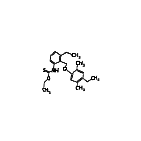 CCOC(=S)Nc1cccc(CC)c1COc1cc(C)c(CC)cc1C